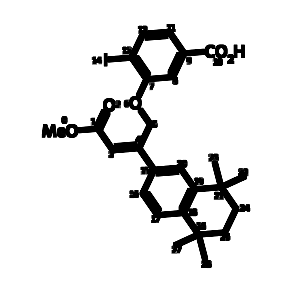 COC(=O)/C=C(\COc1cc(C(=O)O)ccc1I)c1ccc2c(c1)C(C)(C)CCC2(C)C